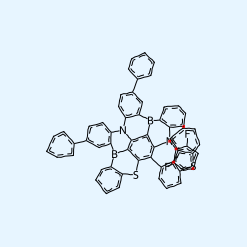 Fc1cccc(F)c1N1c2ccccc2B2c3cc(-c4ccccc4)ccc3N3c4ccc(-c5ccccc5)cc4B4c5ccccc5Sc5c4c3c2c1c5-c1cccc2sc3ccccc3c12